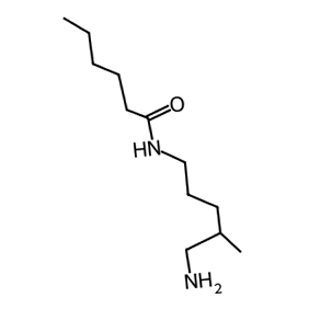 CCCCCC(=O)NCCCC(C)CN